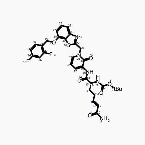 CC(C)(C)OC(=O)N[C@@H](CC/C=C/C(N)=O)C(=O)Nc1cccn(Cc2nc3cccc(OCc4ccc(F)cc4F)c3s2)c1=O